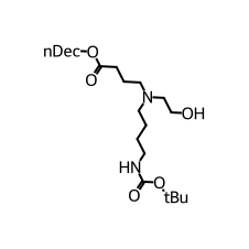 CCCCCCCCCCOC(=O)CCCN(CCO)CCCCNC(=O)OC(C)(C)C